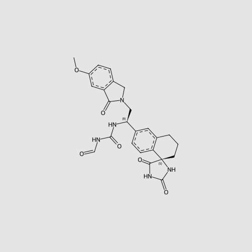 COc1ccc2c(c1)C(=O)N(C[C@H](NC(=O)NC=O)c1ccc3c(c1)CCC[C@]31NC(=O)NC1=O)C2